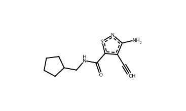 C#Cc1c(N)nsc1C(=O)NCC1CCCC1